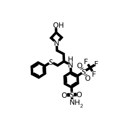 NS(=O)(=O)c1ccc(NC(CCN2CC(O)C2)CSc2ccccc2)c(S(=O)(=O)C(F)(F)F)c1